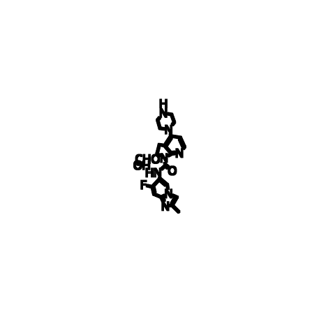 Cc1cn2cc(NC(=O)N3CCc4c(N5CCNCC5)ccnc43)c(F)cc2n1.O=CO